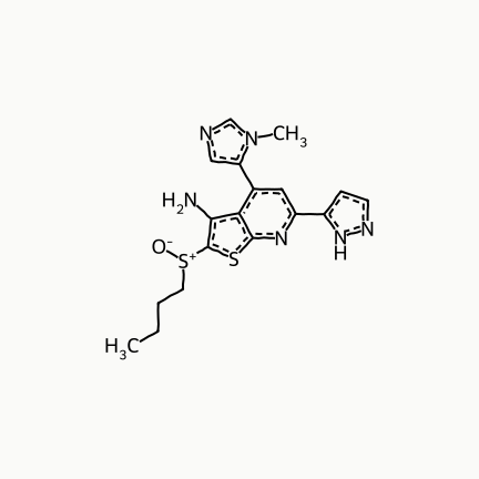 CCCC[S+]([O-])c1sc2nc(-c3ccn[nH]3)cc(-c3cncn3C)c2c1N